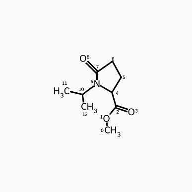 COC(=O)C1CCC(=O)N1C(C)C